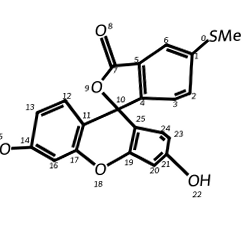 CSc1ccc2c(c1)C(=O)OC21c2ccc(O)cc2Oc2cc(O)ccc21